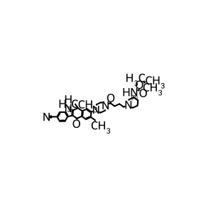 CCc1cc2c(cc1N1CCN(C(=O)CCCN3CCC[C@@H](NC(=O)OC(C)(C)C)C3)CC1)C(C)(C)c1[nH]c3cc(C#N)ccc3c1C2=O